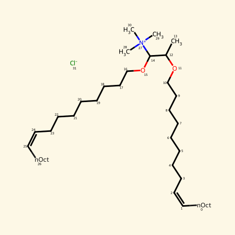 CCCCCCCC/C=C\CCCCCCCCOC(C)C(OCCCCCCCC/C=C\CCCCCCCC)[N+](C)(C)C.[Cl-]